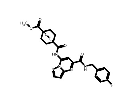 COC(=O)C12CCC(C(=O)Nc3cc(C(=O)NCc4ccc(F)cc4)nc4ccnn34)(CC1)CC2